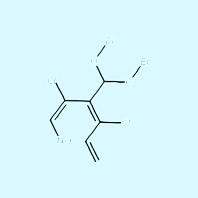 C=C/C(Cl)=C(\C(Cl)=C/N=O)C(OCC)OCC